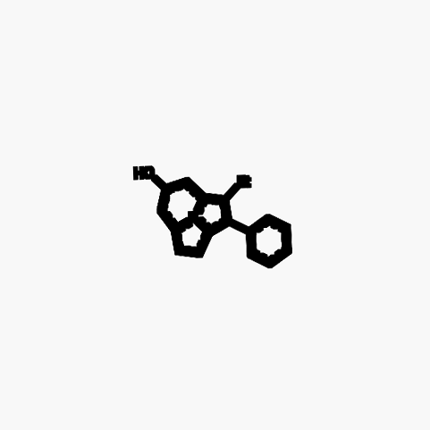 CCc1c(-c2ccccc2)c2ccc3cc(O)cc1n32